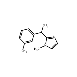 Cc1cccc(C(N)c2nccn2C)c1